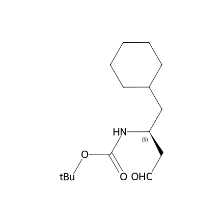 CC(C)(C)OC(=O)N[C@H](CC=O)CC1CCCCC1